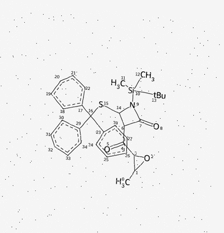 CC1OC1C(=O)C1C(=O)N([Si](C)(C)C(C)(C)C)C1SC(c1ccccc1)(c1ccccc1)c1ccccc1